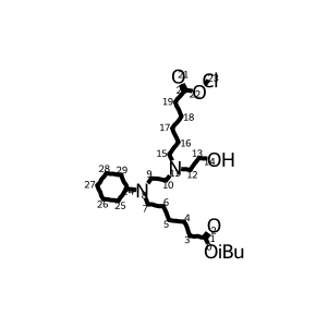 CC(C)COC(=O)CCCCCN(CCN(CCO)CCCCCC(=O)OCl)C1CCCCC1